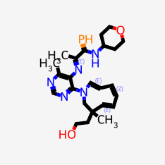 C/C(=N\c1c(C)ncnc1N1/C=C/C=C\C=C\C(C)(CCO)C1)C(=P)NC1CCOCC1